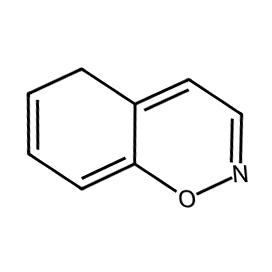 C1=CCC2=CC=NOC2=C1